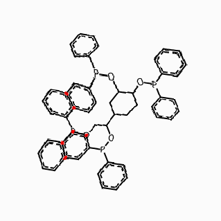 c1ccc(P(OCC(OP(c2ccccc2)c2ccccc2)C2CCC(OP(c3ccccc3)c3ccccc3)C(OP(c3ccccc3)c3ccccc3)C2)c2ccccc2)cc1